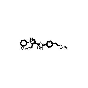 COCc1c(-c2nc(-c3ccc(CCNC(C)C)cc3)no2)cnn1C1CCCCC1